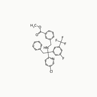 COC(=O)c1cccc(CNC(Cc2ccccc2)(c2cc(F)cc(C(F)(F)F)c2)c2ccc(Cl)cn2)c1